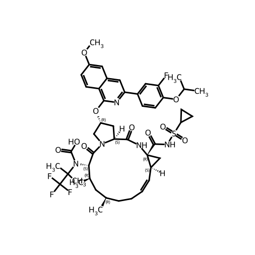 COc1ccc2c(O[C@@H]3C[C@H]4C(=O)N[C@]5(C(=O)NS(=O)(=O)C6CC6)C[C@H]5C=CCC[C@@H](C)C[C@@H](C)[C@H](N(C(=O)O)C(C)(C)C(F)(F)F)C(=O)N4C3)nc(-c3ccc(OC(C)C)c(F)c3)cc2c1